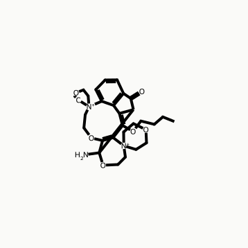 CCCCOC1=C2c3c4cccc3[N+]3(CCOCC3)CCOC3=C1[N+]1(CCOCC1)CCOC3(N)C2C4=O